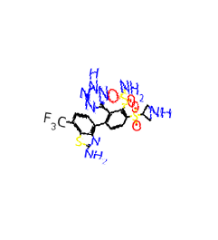 Nc1nc2c(-c3ccc(S(=O)(=O)C4CNC4)c(S(N)(=O)=O)c3-c3nn[nH]n3)ccc(C(F)(F)F)c2s1